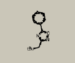 [CH2]C(C)(C)Cc1noc(-c2ccccc2)n1